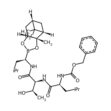 CC(C)C[C@H](NC(=O)[C@@H](NC(=O)[C@H](CC(C)C)NC(=O)OCc1ccccc1)[C@@H](C)O)B1O[C@@H]2C[C@@H]3C[C@@H](C3(C)C)[C@]2(C)O1